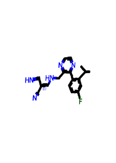 CC(C)c1cc(F)ccc1-c1nccnc1CN/C=C(/C#N)C=N